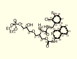 CCOP(=O)(OCC)OCC(O)COCC(COC(=O)Nc1cc2ccccc2cn1)N(C)C(=O)NCc1cccc(F)c1Cl